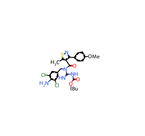 COc1ccc(-c2nsc(C)c2C(=O)N(Cc2cc(Cl)c(N)c(Cl)c2)C(=N)NC(=O)OC(C)(C)C)cc1